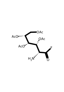 CC(=O)OC[C@@H](OC(C)=O)[C@@H](OC(C)=O)[C@H](OC(C)=O)[C@@H](N)C(=O)F